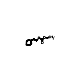 [CH2]COC(=O)OCCC1CCCCC1